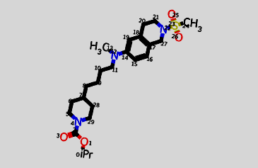 CC(C)OC(=O)N1CCC(CCCCN(C)c2ccc3c(c2)CCN(S(C)(=O)=O)C3)CC1